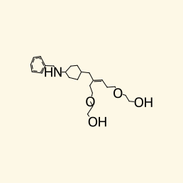 OCCOCC/C=C(\CCOCCO)CC1CCC(NCc2ccccc2)CC1